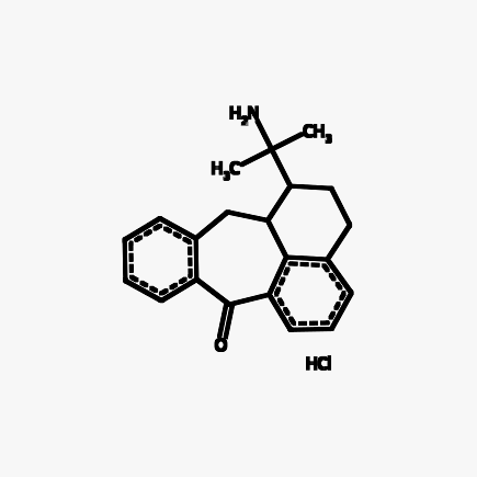 CC(C)(N)C1CCc2cccc3c2C1Cc1ccccc1C3=O.Cl